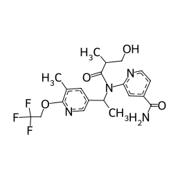 Cc1cc(C(C)N(C(=O)C(C)CO)c2cc(C(N)=O)ccn2)cnc1OCC(F)(F)F